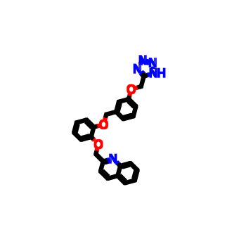 c1cc(COc2ccccc2OCc2ccc3ccccc3n2)cc(OCc2nnn[nH]2)c1